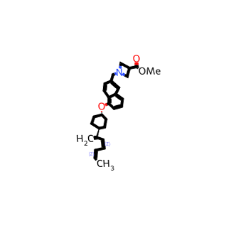 C=C(/C=C\C=C/C)[C@H]1CC[C@H](Oc2cccc3cc(CN4CC(C(=O)OC)C4)ccc23)CC1